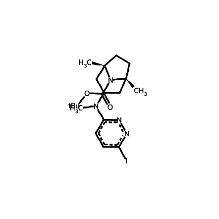 CN(c1ccc(I)nn1)C1C[C@]2(C)CC[C@](C)(C1)N2C(=O)OC(C)(C)C